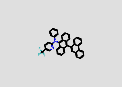 FC(F)(F)c1ccc(N(c2ccccc2)c2c3ccccc3c(-c3cc4ccccc4c4ccccc34)c3ccccc23)nc1